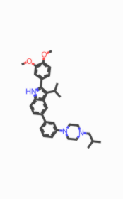 COc1ccc(-c2[nH]c3ccc(-c4cccc(N5CCN(CC(C)C)CC5)c4)cc3c2C(C)C)cc1OC